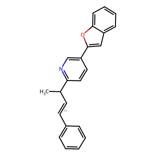 CC(/C=C/c1ccccc1)c1ccc(-c2cc3ccccc3o2)cn1